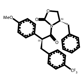 COc1ccc([C@H](Cc2ccc(C(F)(F)F)cc2)C(=O)N2C(=O)OC[C@@H]2Cc2ccccc2)cc1